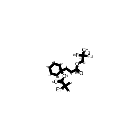 CCC(C)(C)C(=O)OC1(CCC(=O)OCC(F)(F)C(F)(F)F)CCCCC1